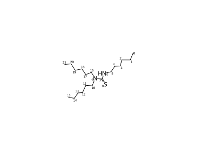 CCCCCCNC(=S)N(CCCCCC)CCCCCC